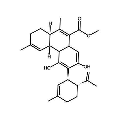 C=C(C)[C@@H]1CCC(C)=C[C@H]1C1=C(O)C2C(C=C1O)C(C(=O)OC)=C(C)[C@@H]1CCC(C)=C[C@@H]21